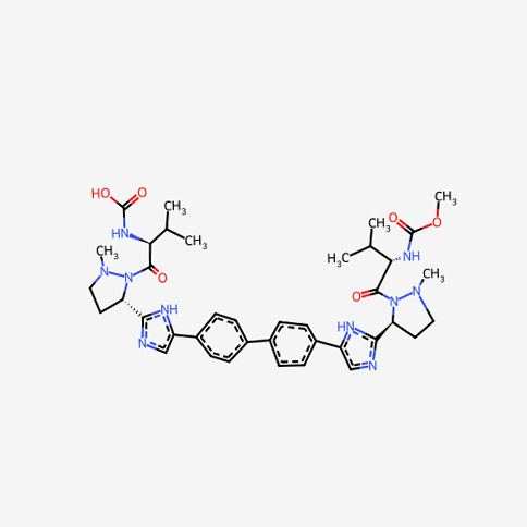 COC(=O)N[C@H](C(=O)N1[C@H](c2ncc(-c3ccc(-c4ccc(-c5cnc([C@@H]6CCN(C)N6C(=O)[C@@H](NC(=O)O)C(C)C)[nH]5)cc4)cc3)[nH]2)CCN1C)C(C)C